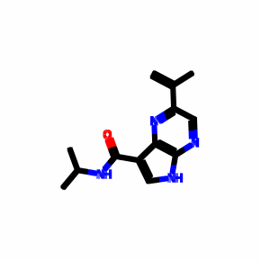 C=C(C)c1cnc2[nH]cc(C(=O)NC(C)C)c2n1